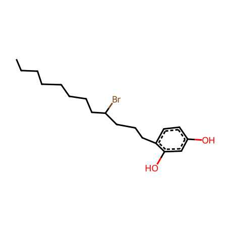 CCCCCCCCC(Br)CCCc1ccc(O)cc1O